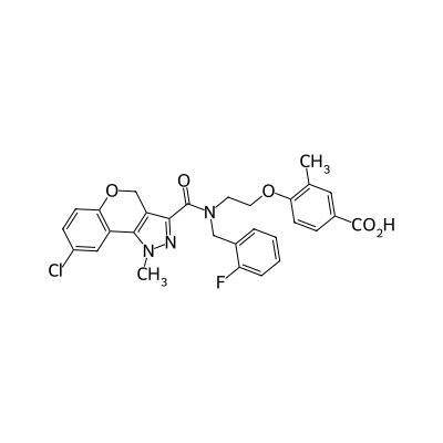 Cc1cc(C(=O)O)ccc1OCCN(Cc1ccccc1F)C(=O)c1nn(C)c2c1COc1ccc(Cl)cc1-2